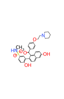 CNS(=O)(=O)c1ccc(O)c(-c2ccc3cc(O)ccc3c2C(=O)c2ccc(OCCN3CCCCC3)cc2)c1